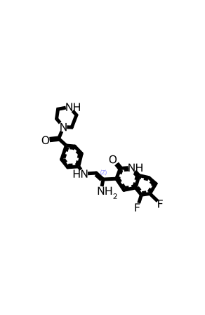 N/C(=C\Nc1ccc(C(=O)N2CCNCC2)cc1)c1cc2c(F)c(F)ccc2[nH]c1=O